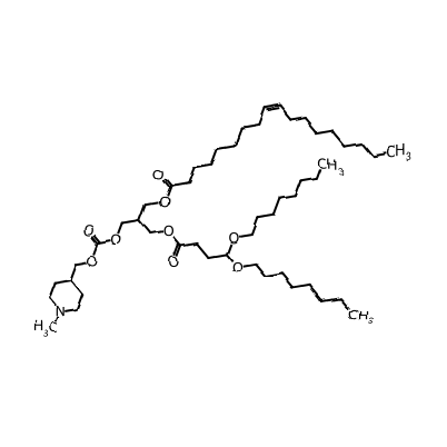 CCCCCCCC/C=C\CCCCCCCC(=O)OCC(COC(=O)CCC(OCCCCCCCC)OCCCCCCCC)COC(=O)OCC1CCN(C)CC1